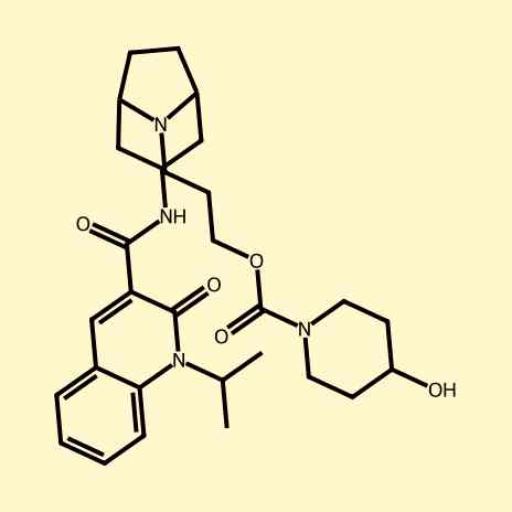 CC(C)n1c(=O)c(C(=O)NC2CC3CCC(C2)N3CCCOC(=O)N2CCC(O)CC2)cc2ccccc21